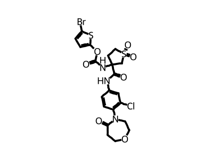 O=C(NC1(C(=O)Nc2ccc(N3CCOCCC3=O)c(Cl)c2)CCS(=O)(=O)C1)Oc1ccc(Br)s1